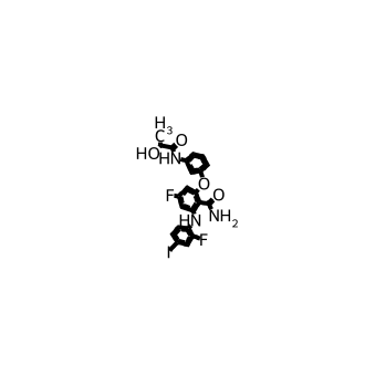 CC(O)C(=O)Nc1cccc(Oc2cc(F)cc(Nc3ccc(I)cc3F)c2C(N)=O)c1